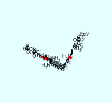 CC(=O)[O-].CC(=O)[O-].CC(=O)[O-].CC(=O)[O-].CC(=O)[O-].CC(=O)[O-].CC(=O)[O-].CC(=O)[O-].NCCN.NCCN.O=S(=O)([O-])[O-].O=S(=O)([O-])[O-].O=S(=O)([O-])[O-].[Fe+3].[Fe+3].[NH4+].[NH4+].[NH4+].[NH4+].[NH4+].[NH4+].[NH4+].[NH4+]